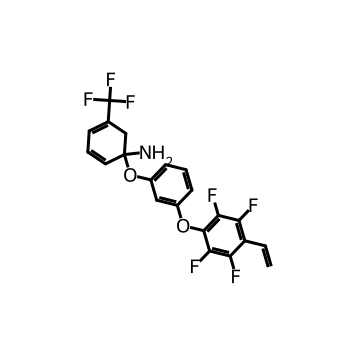 C=Cc1c(F)c(F)c(Oc2cccc(OC3(N)C=CC=C(C(F)(F)F)C3)c2)c(F)c1F